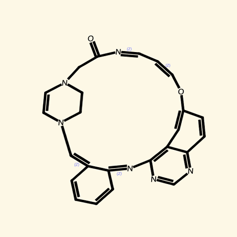 O=C1CN2C=CN(/C=c3/cccc/c3=N/c3ncnc4ccc(cc34)O/C=C\C=N/1)CC2